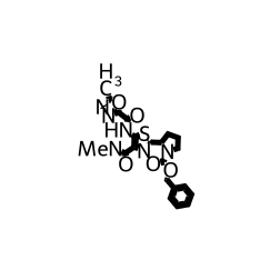 CNC(=O)c1nc(C2CCCN2C(=O)OCc2ccccc2)sc1NC(=O)c1nnc(C)o1